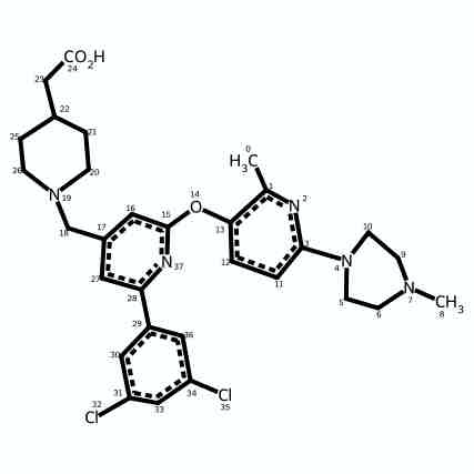 Cc1nc(N2CCN(C)CC2)ccc1Oc1cc(CN2CCC(CC(=O)O)CC2)cc(-c2cc(Cl)cc(Cl)c2)n1